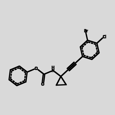 O=C(NC1(C#Cc2ccc(Cl)c(Br)c2)CC1)Oc1ccccc1